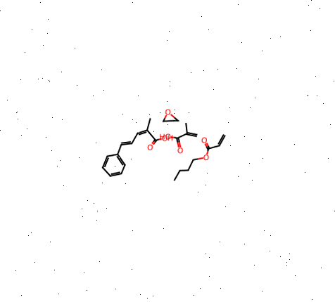 C1CO1.C=C(C)C(=O)O.C=CC(=O)OCCCC.CC(=CC=Cc1ccccc1)C(=O)O